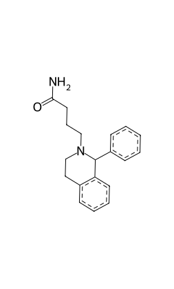 NC(=O)CCCN1CCc2ccccc2C1c1ccccc1